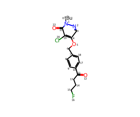 CC(C)(C)n1ncc(OCc2ccc(C(=O)CCCF)cc2)c(Cl)c1=O